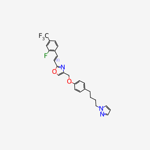 Fc1cc(C(F)(F)F)ccc1/C=C/c1nc(COc2ccc(CCCCn3cccn3)cc2)co1